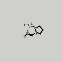 CC[SH]=CN1CCCN1C(=O)O